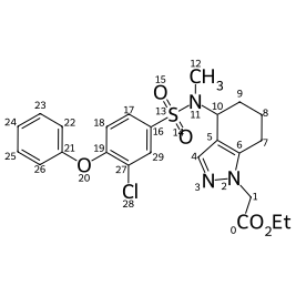 CCOC(=O)Cn1ncc2c1CCCC2N(C)S(=O)(=O)c1ccc(Oc2ccccc2)c(Cl)c1